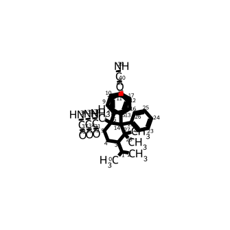 CC(C)C1CCC(C)(c2ccccc2)C(c2ccccc2)(c2ccccc2)C1(C)C.N=C=O.N=C=O.N=C=O.N=C=O